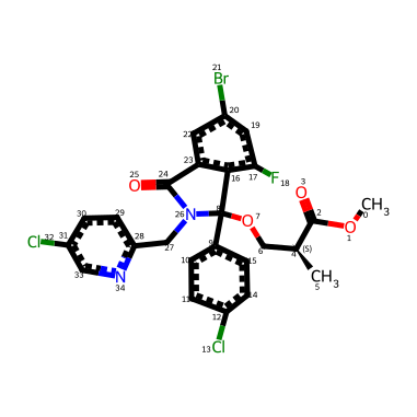 COC(=O)[C@@H](C)COC1(c2ccc(Cl)cc2)c2c(F)cc(Br)cc2C(=O)N1Cc1ccc(Cl)cn1